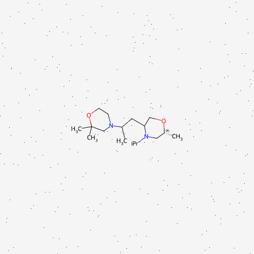 CC(CC1CO[C@H](C)CN1C(C)C)N1CCOC(C)(C)C1